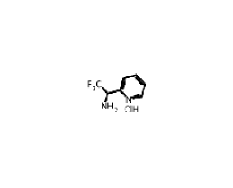 Cl.NC(c1ccccn1)C(F)(F)F